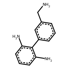 NCc1cccc(-c2c(N)cccc2N)c1